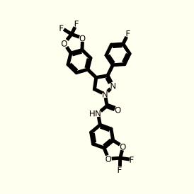 O=C(Nc1ccc2c(c1)OC(F)(F)O2)N1CC(c2ccc3c(c2)OC(F)(F)O3)C(c2ccc(F)cc2)=N1